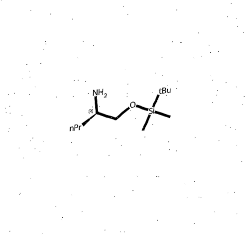 CCC[C@@H](N)CO[Si](C)(C)C(C)(C)C